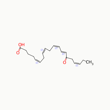 CC/C=C\CC(=O)/C=C/C=C\C/C=C\C/C=C\CCCC(=O)O